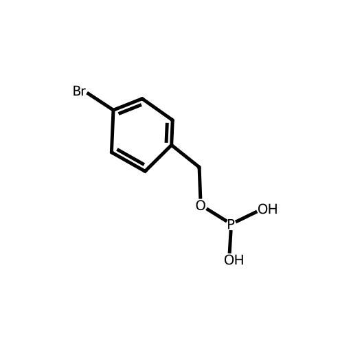 OP(O)OCc1ccc(Br)cc1